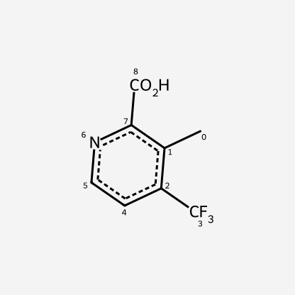 Cc1c(C(F)(F)F)ccnc1C(=O)O